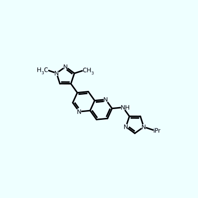 Cc1nn(C)cc1-c1cnc2ccc(Nc3cn(C(C)C)cn3)nc2c1